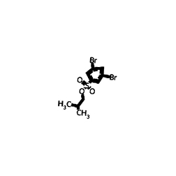 CC(C)COS(=O)(=O)c1cc(Br)cc(Br)c1